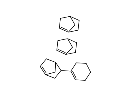 C1=C2CC(C1)C(C1=CCCCC1)C2.C1=C2CCC(C1)C2.C1=C2CCC(C1)C2